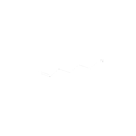 C=CCCCSC#N